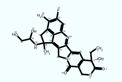 CC[C@@]1(O)C(=O)OCc2c1cc1n(c2=O)Cc2c-1nc1cc(F)c(C)c3c1c2C(C)(NC(O)CO)C3